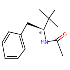 CC(=O)N[C@@H](Cc1ccccc1)C(C)(C)C